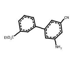 CCOC(=O)c1cccc(-c2cc(N)cc(C#N)c2)c1